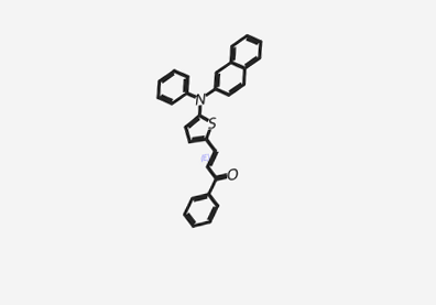 O=C(/C=C/c1ccc(N(c2ccccc2)c2ccc3ccccc3c2)s1)c1ccccc1